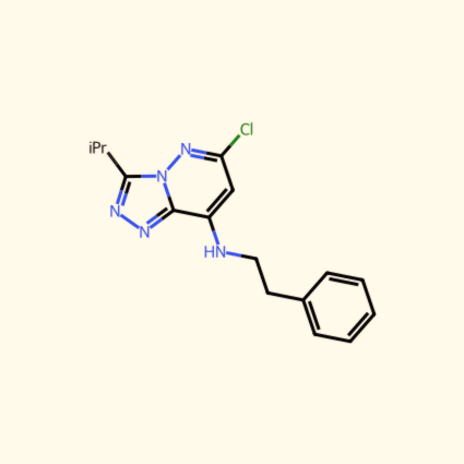 CC(C)c1nnc2c(NCCc3ccccc3)cc(Cl)nn12